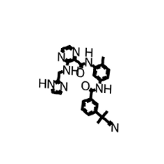 Cc1ccc(NC(=O)c2cccc(C(C)(C)C#N)c2)cc1NC(=O)c1nccnc1NCc1ncc[nH]1